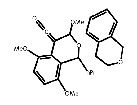 CCCC1OC(OC)C(=C=O)c2c(OC)ccc(OC)c21.c1ccc2c(c1)CCOC2